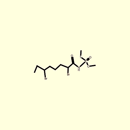 CCC(Br)CCCC(Br)C(=O)NP(=O)(OC)SC